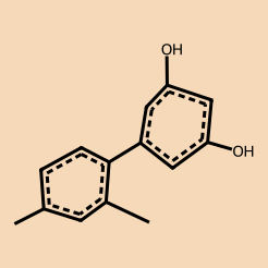 Cc1ccc(-c2cc(O)cc(O)c2)c(C)c1